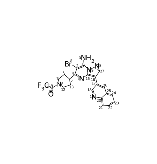 Nc1c(Br)c(C2CCN(C(=O)C(F)(F)F)CC2)nc2c(-c3cnc4ccccc4c3)cnn12